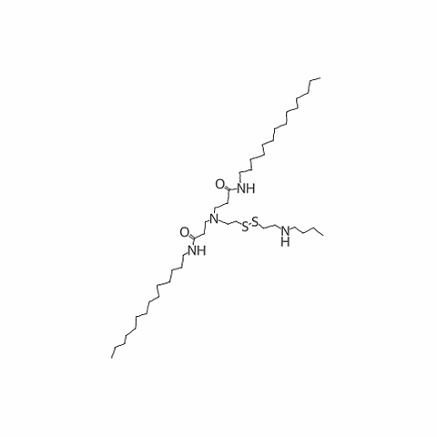 CCCCCCCCCCCCCCNC(=O)CCN(CCSSCCNCCCC)CCC(=O)NCCCCCCCCCCCCCC